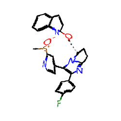 C[S+]([O-])c1cc(-c2c(-c3ccc(F)cc3)nc3n2[C@H](COc2ccc4ccccc4n2)CC3)ccn1